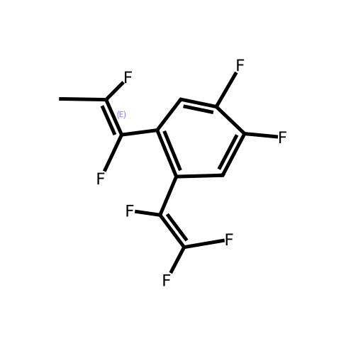 C/C(F)=C(\F)c1cc(F)c(F)cc1C(F)=C(F)F